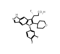 O=C(O)C[C@@H](F)c1c(C2CCOCC2)n(-c2ccc(F)c(F)c2)c2cc3cn[nH]c3cc12